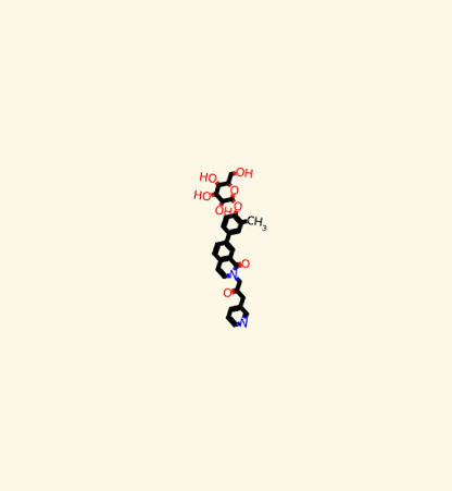 Cc1cc(-c2ccc3ccn(CC(=O)Cc4cccnc4)c(=O)c3c2)ccc1OC1OC(CO)C(O)C(O)C1O